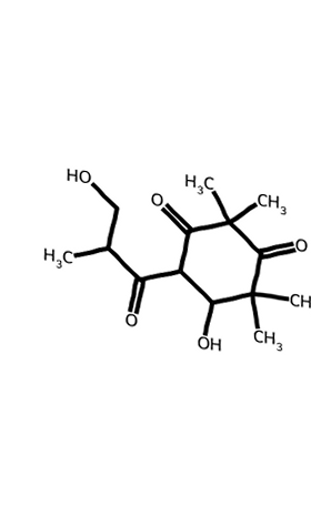 CC(CO)C(=O)C1C(=O)C(C)(C)C(=O)C(C)(C)C1O